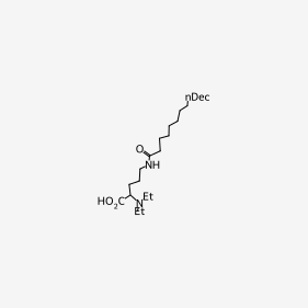 CCCCCCCCCCCCCCCCCC(=O)NCCCC(C(=O)O)N(CC)CC